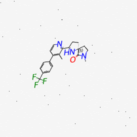 Cc1c(-c2ccc(C(F)(F)F)cc2)ccnc1C1CC[C@@]2(CCN(C)C2=O)N1